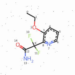 CCOc1cccnc1C(F)(F)C(N)=O